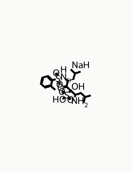 Cc1ccccc1S(=O)(=O)N[C@@H](CC(C)C)C(=O)C(O)(C(N)CC(C)C)S(=O)(=O)O.[NaH]